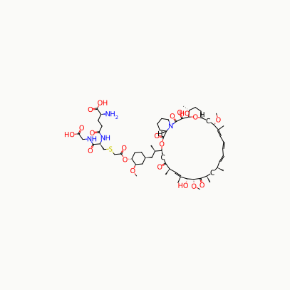 CO[C@H]1C[C@@H]2CC[C@@H](C)[C@@](O)(O2)C(=O)C(=O)N2CCCC[C@H]2C(=O)O[C@H]([C@H](C)C[C@@H]2CC[C@@H](OC(=O)CSC[C@H](NC(=O)CC[C@H](N)C(=O)O)C(=O)NCC(=O)O)[C@H](OC)C2)CC(=O)[C@H](C)/C=C(\C)[C@@H](O)[C@@H](OC)C(=O)[C@H](C)C[C@H](C)/C=C/C=C/C=C/1C